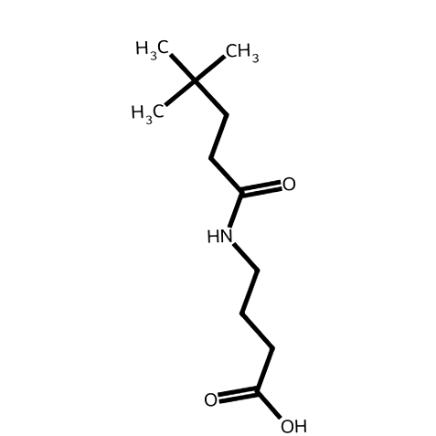 CC(C)(C)CCC(=O)NCCCC(=O)O